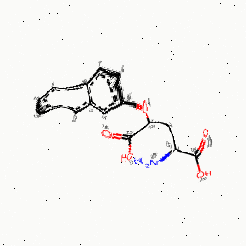 N[C@@H](C[C@H](Oc1ccc2ccccc2c1)C(=O)O)C(=O)O